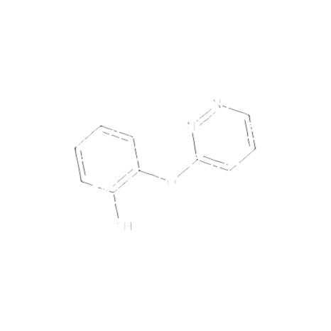 Sc1[c]cccc1Oc1cccnn1